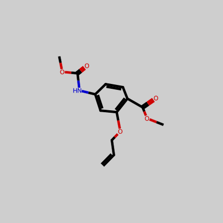 C=CCOc1cc(NC(=O)OC)ccc1C(=O)OC